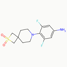 Nc1cc(F)c(N2CCC3(CC2)CS(=O)(=O)C3)c(F)c1